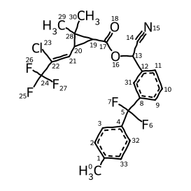 Cc1ccc(C(F)(F)c2cccc(C(C#N)OC(=O)C3C(C=C(Cl)C(F)(F)F)C3(C)C)c2)cc1